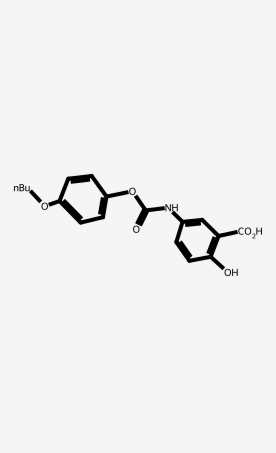 CCCCOc1ccc(OC(=O)Nc2ccc(O)c(C(=O)O)c2)cc1